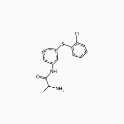 CC(N)C(=O)Nc1cccc(Sc2ccccc2Cl)c1